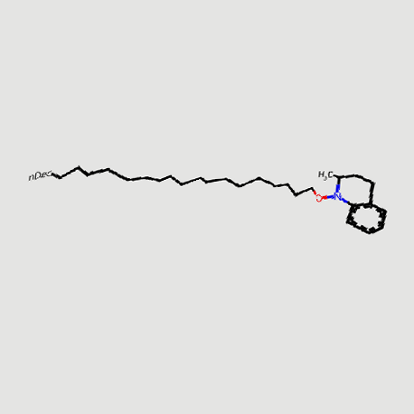 CCCCCCCCCCCCCCCCCCCCCCCCCCCCON1c2ccccc2CCC1C